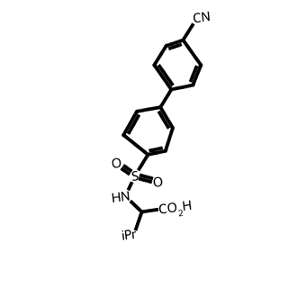 CC(C)C(NS(=O)(=O)c1ccc(-c2ccc(C#N)cc2)cc1)C(=O)O